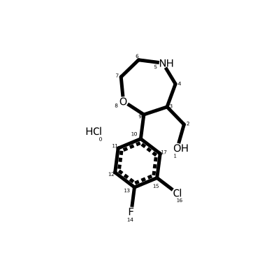 Cl.OCC1CNCCOC1c1ccc(F)c(Cl)c1